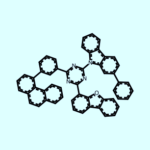 c1ccc(-c2ccc3c4ccccc4n(-c4nc(-c5cccc(-c6cccc7ccc8ccccc8c67)c5)nc(-c5cccc6c5oc5ccccc56)n4)c3c2)cc1